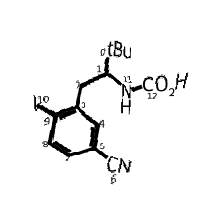 CC(C)(C)C(Cc1cc(C#N)ccc1I)NC(=O)O